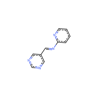 C(=Nc1ccccn1)c1cncnc1